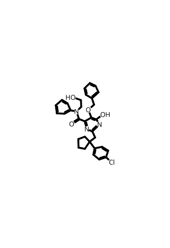 O=C(c1nc(CC2(c3ccc(Cl)cc3)CCCC2)nc(O)c1OCc1ccccc1)N(CCO)c1ccccc1